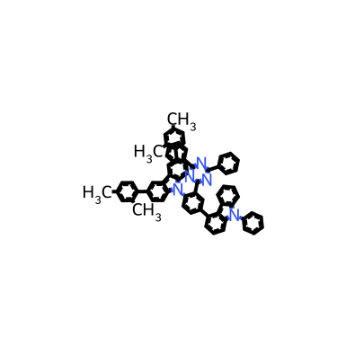 Cc1ccc(-c2ccc3c(c2)c2cc(-c4ccc(C)cc4C)ccc2n3-c2ccc(-c3cccc4c3c3ccccc3n4-c3ccccc3)cc2-c2nc(-c3ccccc3)nc(-c3ccccc3)n2)c(C)c1